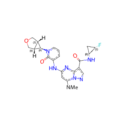 CNc1cc(Nc2cccn([C@H]3[C@@H]4COC[C@@H]43)c2=O)nc2c(C(=O)N[C@@H]3C[C@@H]3F)cnn12